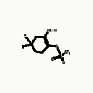 CCOC(=O)C1=C(OS(=O)(=O)C(F)(F)F)CCC(F)(F)C1